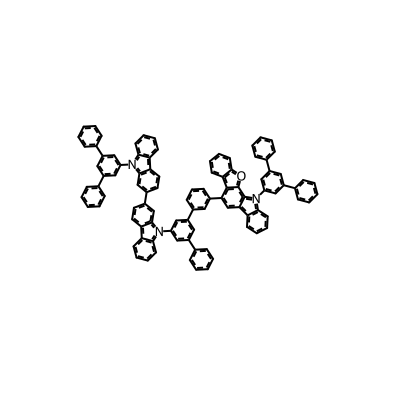 c1ccc(-c2cc(-c3ccccc3)cc(-n3c4ccccc4c4ccc(-c5ccc6c7ccccc7n(-c7cc(-c8ccccc8)cc(-c8cccc(-c9cc%10c%11ccccc%11n(-c%11cc(-c%12ccccc%12)cc(-c%12ccccc%12)c%11)c%10c%10oc%11ccccc%11c9%10)c8)c7)c6c5)cc43)c2)cc1